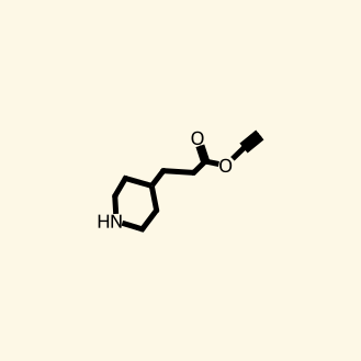 C#COC(=O)CCC1CCNCC1